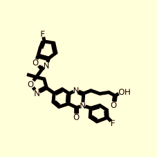 CC1(c2nc3ccc(F)cc3o2)CC(c2ccc3c(=O)n(-c4ccc(F)cc4)c(CCCC(=O)O)nc3c2)=NO1